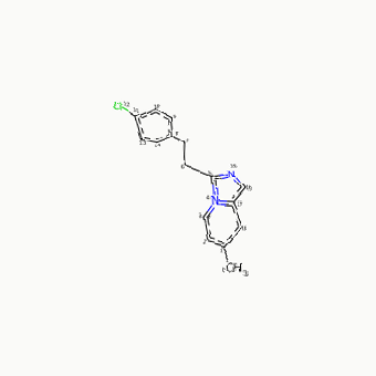 Cc1ccn2c(CCc3ccc(Cl)cc3)ncc2c1